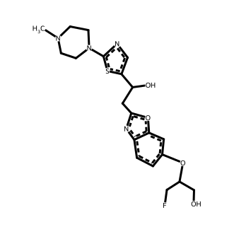 CN1CCN(c2ncc(C(O)Cc3nc4ccc(OC(CO)CF)cc4o3)s2)CC1